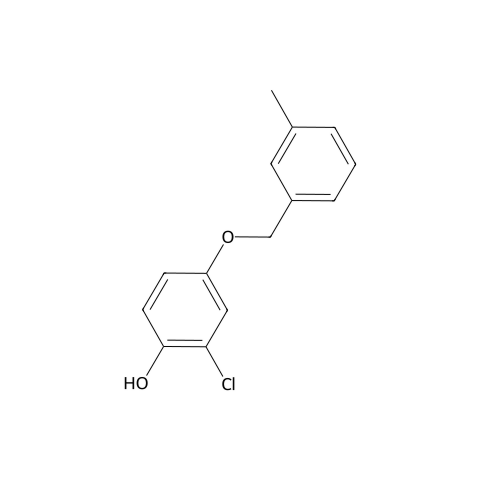 Cc1cccc(COc2ccc(O)c(Cl)c2)c1